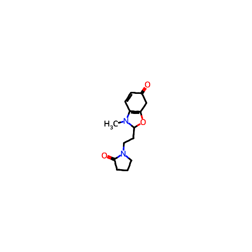 CN1C2=C(CC(=O)C=C2)OC1CCN1CCCC1=O